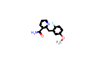 NC(=O)c1cccnc1Cc1cc(OC(F)(F)F)ccc1F